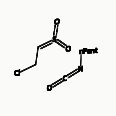 CCCCCN=C=O.O=S(=O)=CCCl